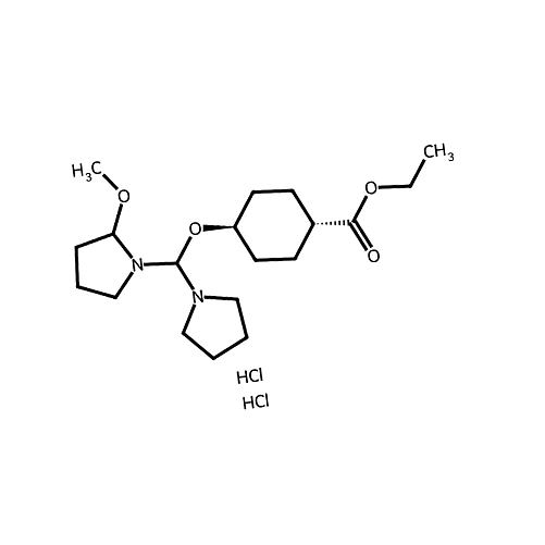 CCOC(=O)[C@H]1CC[C@H](OC(N2CCCC2)N2CCCC2OC)CC1.Cl.Cl